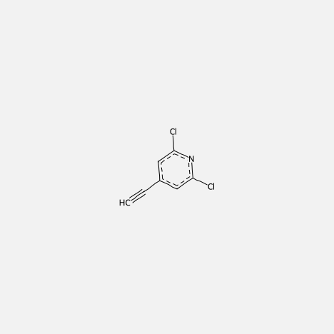 C#Cc1cc(Cl)nc(Cl)c1